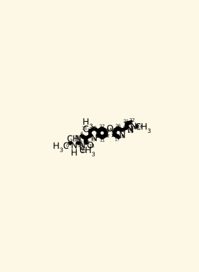 CC(C)Nc1ncc(C2=Nc3ccc(Oc4ccnc(-c5ccn(C)n5)c4)cc3CC2C)c(=O)n1C